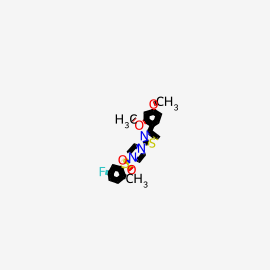 COc1ccc(-c2csc(N3CCN(S(=O)(=O)c4cc(F)ccc4C)CC3)n2)c(OC)c1